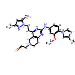 COc1cc(Nc2nc3c(c(CCn4nc(C)cc4C)n2)CN(CC=O)CC3)ccc1-n1cnc(C)c1